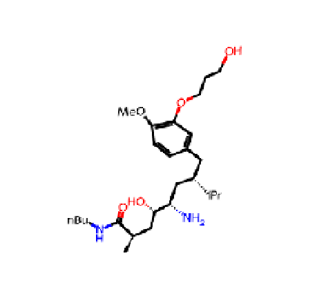 CCCCNC(=O)[C@H](C)C[C@H](O)[C@@H](N)C[C@H](Cc1ccc(OC)c(OCCCO)c1)C(C)C